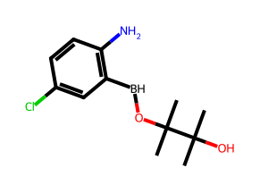 CC(C)(O)C(C)(C)OBc1cc(Cl)ccc1N